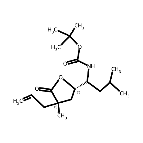 C=CC[C@@]1(C)C[C@@H](C(CC(C)C)NC(=O)OC(C)(C)C)OC1=O